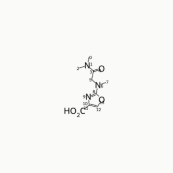 CN(C)C(=O)CN(C)c1nc(C(=O)O)co1